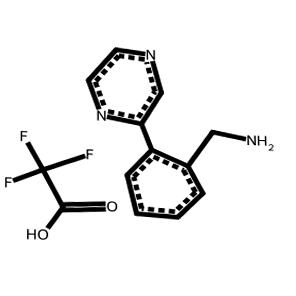 NCc1ccccc1-c1cnccn1.O=C(O)C(F)(F)F